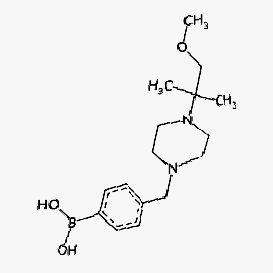 COCC(C)(C)N1CCN(Cc2ccc(B(O)O)cc2)CC1